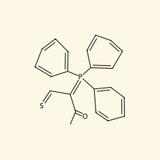 CC(=O)C(C=S)=P(c1ccccc1)(c1ccccc1)c1ccccc1